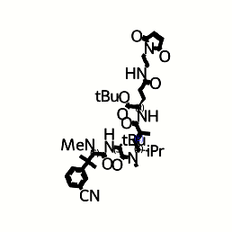 CN[C@H](C(=O)N[C@H](C(=O)N(C)[C@H](/C=C(\C)C(=O)N[C@H](CCC(=O)NCCN1C(=O)C=CC1=O)C(=O)OC(C)(C)C)C(C)C)C(C)(C)C)C(C)(C)c1cccc(C#N)c1